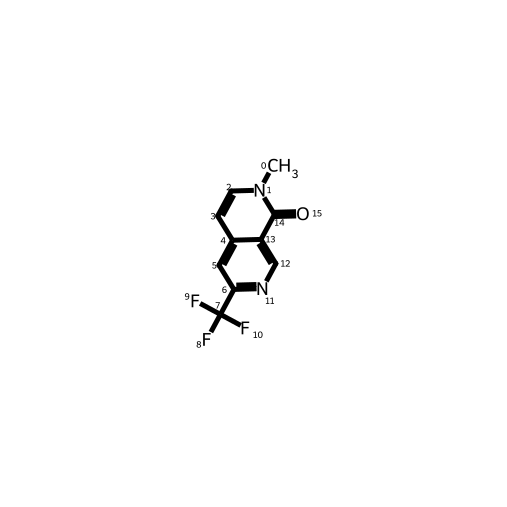 Cn1ccc2cc(C(F)(F)F)ncc2c1=O